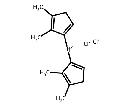 CC1=C(C)[C]([Hf+2][C]2=CCC(C)=C2C)=CC1.[Cl-].[Cl-]